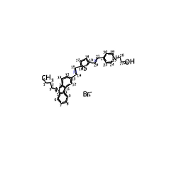 CCCCn1c2ccccc2c2cc(/C=C/c3ccc(/C=C/c4cc[n+](CCO)cc4)s3)ccc21.[Br-]